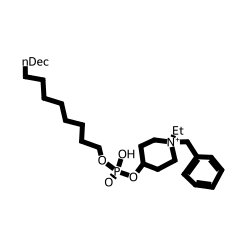 CCCCCCCCCCCCCCCCCCOP(=O)(O)OC1CC[N+](CC)(Cc2ccccc2)CC1